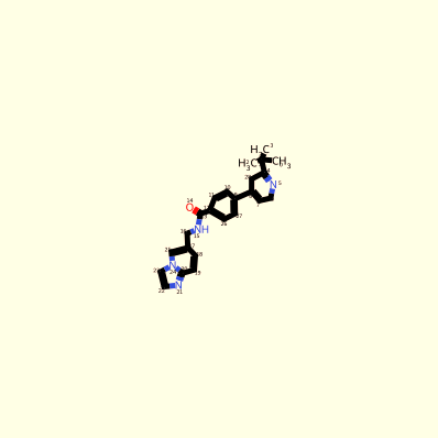 CC(C)(C)C1=NCC=C(c2ccc(C(=O)NCc3ccc4nccn4c3)cc2)C1